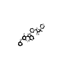 CC(C)(/C=C(/C#N)C(=O)N1CCC[C@@H](n2nc(-c3ccc(Oc4ccccc4)cc3F)c3c(N)nccc32)C1)N1CCOCC1